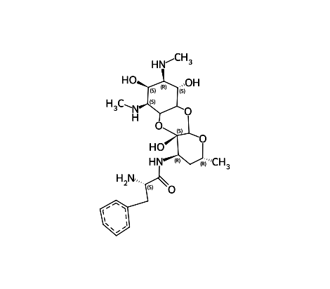 CN[C@@H]1[C@H](O)[C@H](NC)C2O[C@]3(O)C(OC2[C@H]1O)O[C@H](C)C[C@H]3NC(=O)[C@@H](N)Cc1ccccc1